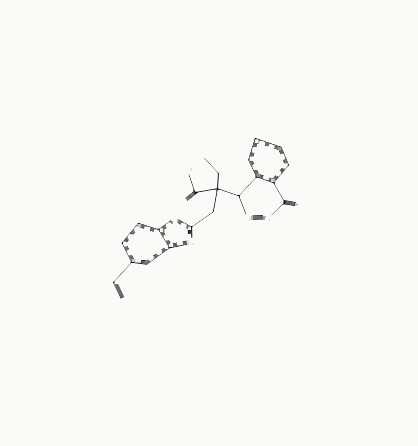 CCC(Cc1nc2cc(C=S)ccc2s1)(C(=O)O)C1N=NC(=O)c2ccccc21